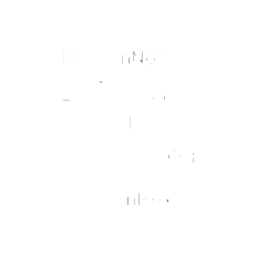 CCCCCCCCCC(CC)(CC)[PH](=O)CC(O)CCCCCC